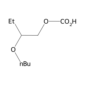 CCCCOC(CC)COC(=O)O